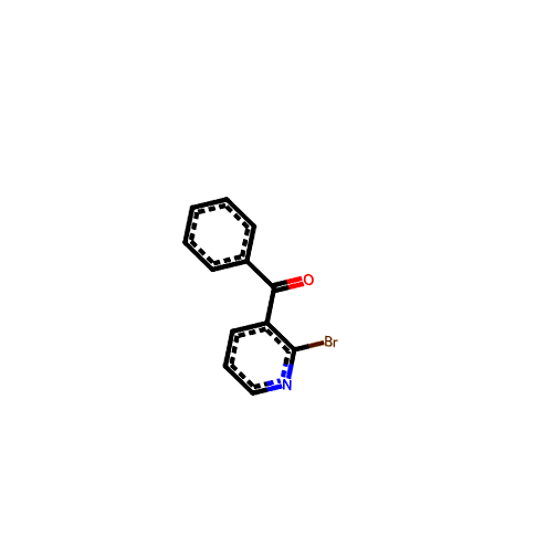 O=C(c1ccccc1)c1cccnc1Br